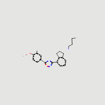 Cc1cc(-c2nc(-c3cccc4c3CC[C@@H]4NCCCC(=O)O)no2)ccc1OC(C)C